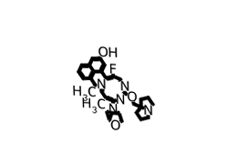 CCc1cccc2cc(O)cc(-c3ncc(C)c(N4CC5CC4CO5)nc(OCC45CCCN4CCC5)ncc3F)c12